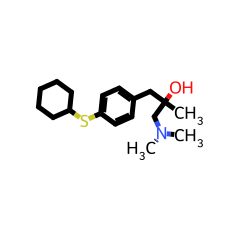 CN(C)CC(C)(O)Cc1ccc(SC2CCCCC2)cc1